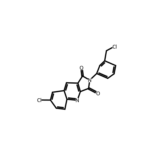 O=C1c2cc3cc(Cl)ccc3nc2C(=O)N1c1cccc(CCl)c1